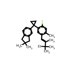 CCC(C)(C)/C(C)=C/c1cc(C2(c3ccc4c(c3)CC(C)(C)C4)CC2)c(F)cc1C